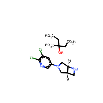 Clc1cc(N2C[C@@H]3CN[C@@H]3C2)cnc1Cl.O=C(O)CC(O)(CC(=O)O)C(=O)O